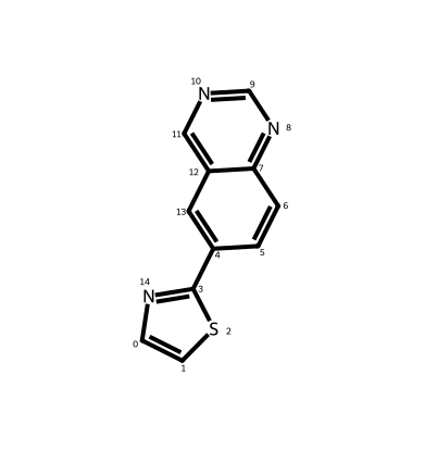 c1csc(-c2ccc3ncncc3c2)n1